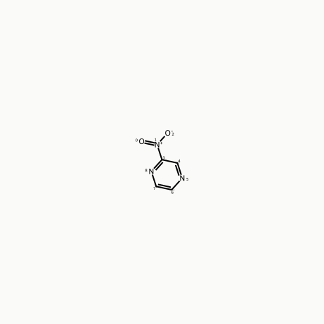 O=[N+]([O-])c1cn[c]cn1